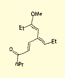 CC/C=C(/C=C/C(=O)CCC)\C=C(/CC)OC